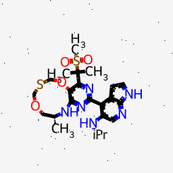 CC(C)Nc1cnc2[nH]ccc2c1-c1nc2c(c(C(C)(C)S(C)(=O)=O)n1)OCSCOC[C@@H](C)N2